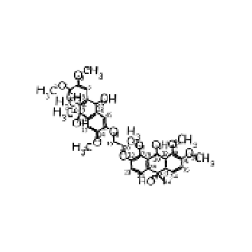 C=C(OC)/C(=C\C1=C(C)[C@@](C)(O)c2cc(OC)c(OCCOc3ccc4c(c3OC)C(O)c3c(ccc(OC)c3OC)[C@]4(O)I)cc2C1O)OC